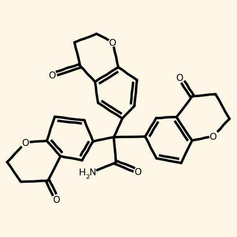 NC(=O)C(c1ccc2c(c1)C(=O)CCO2)(c1ccc2c(c1)C(=O)CCO2)c1ccc2c(c1)C(=O)CCO2